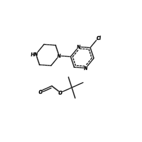 CC(C)(C)OC=O.Clc1cncc(N2CCNCC2)n1